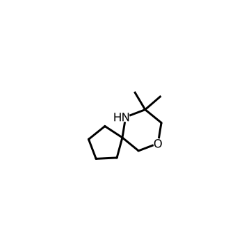 CC1(C)COCC2(CCCC2)N1